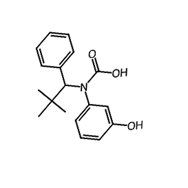 CC(C)(C)C(c1ccccc1)N(C(=O)O)c1cccc(O)c1